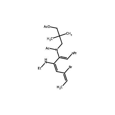 C\C=C(Br)/C=C(NCC)\C(=C\CCC)N(CC(C)(C)COC(C)=O)C(C)=O